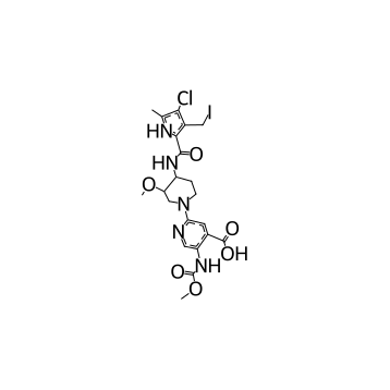 COC(=O)Nc1cnc(N2CCC(NC(=O)c3[nH]c(C)c(Cl)c3CI)C(OC)C2)cc1C(=O)O